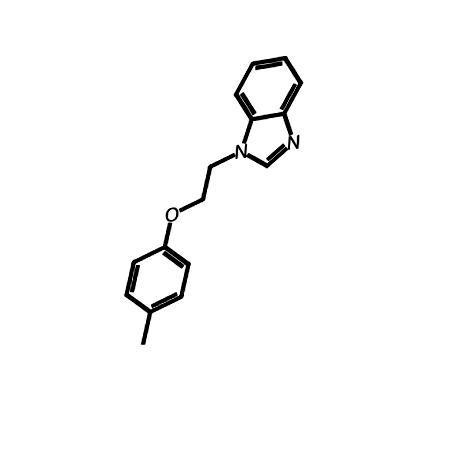 Cc1ccc(OCCn2cnc3ccccc32)cc1